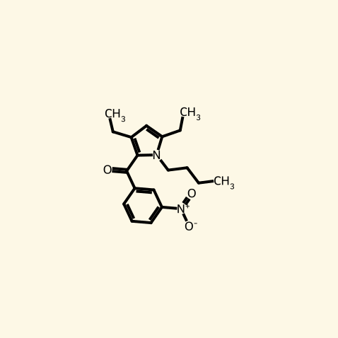 CCCCn1c(CC)cc(CC)c1C(=O)c1cccc([N+](=O)[O-])c1